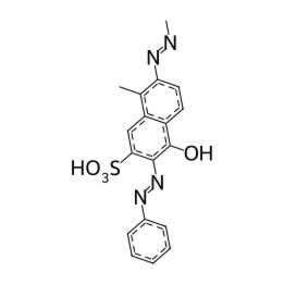 CN=Nc1ccc2c(O)c(N=Nc3ccccc3)c(S(=O)(=O)O)cc2c1C